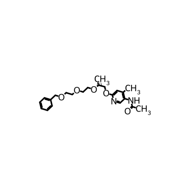 CC(=O)Nc1cnc(OC[C@H](C)OCCOCCOCc2ccccc2)cc1C